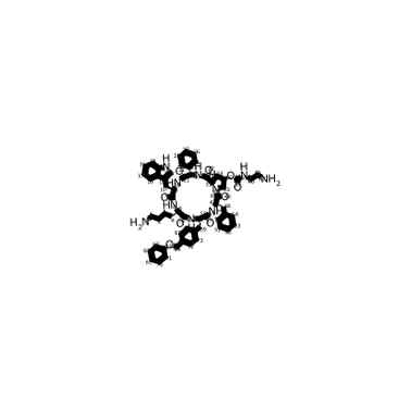 NCCCC[C@@H]1NC(=O)[C@@H](Cc2c[nH]c3ccccc23)NC(=O)[C@H](c2ccccc2)NC(=O)[C@@H]2C[C@@H](OC(=O)NCCN)CN2C(=O)[C@H](Cc2ccccc2)NC(=O)[C@H](Cc2ccc(COc3ccccc3)cc2)NC1=O